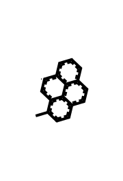 Cc1ccc2ccc3cccc4[c]cc1c2c43